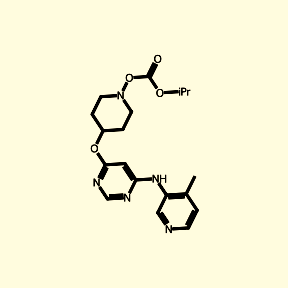 Cc1ccncc1Nc1cc(OC2CCN(OC(=O)OC(C)C)CC2)ncn1